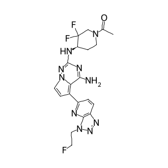 CC(=O)N1CC[C@@H](Nc2nc(N)c3c(-c4ccc5nnn(CCF)c5n4)ccn3n2)C(F)(F)C1